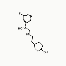 OC1CCC(CCNC[C@H](O)c2cncc(F)c2)CC1